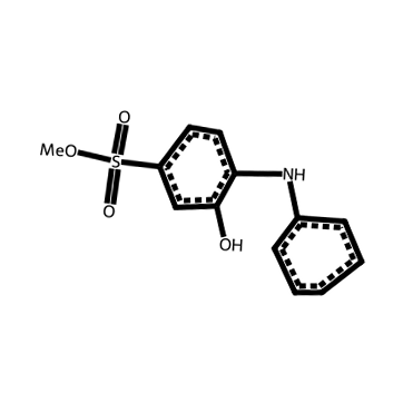 COS(=O)(=O)c1ccc(Nc2ccccc2)c(O)c1